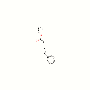 CCOC(=O)CCCCc1cc[c]cc1